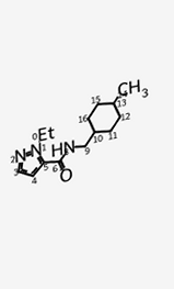 CCn1nccc1C(=O)NCC1CCC(C)CC1